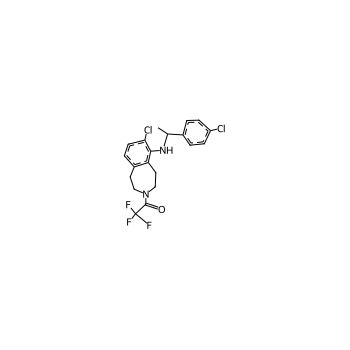 CC(Nc1c(Cl)ccc2c1CCN(C(=O)C(F)(F)F)CC2)c1ccc(Cl)cc1